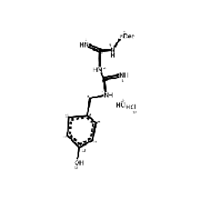 CCCCCCCCCCNC(=N)NC(=N)NCc1ccc(O)cc1.Cl.Cl